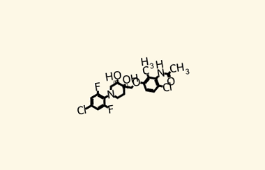 CC(=O)Nc1c(Cl)ccc(OC[C@]2(O)CCN(c3c(F)cc(Cl)cc3F)C[C@H]2O)c1C